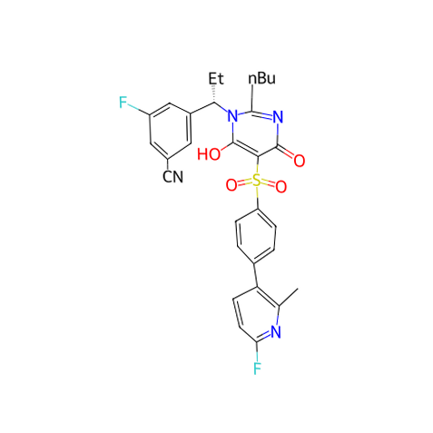 CCCCc1nc(=O)c(S(=O)(=O)c2ccc(-c3ccc(F)nc3C)cc2)c(O)n1[C@@H](CC)c1cc(F)cc(C#N)c1